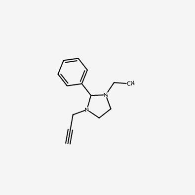 C#CCN1CCN(CC#N)C1c1ccccc1